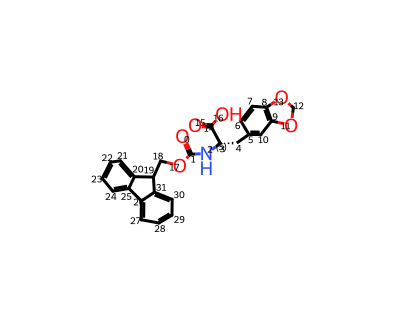 O=C(N[C@@H](Cc1ccc2c(c1)OCO2)C(=O)O)OCC1c2ccccc2-c2ccccc21